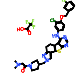 CN(C)CC(=O)N1CCC(Cn2cc3c(n2)CCc2c-3sc3ncnc(Nc4ccc(OCc5cccc(F)c5)c(Cl)c4)c23)CC1.O=C(O)C(F)(F)F